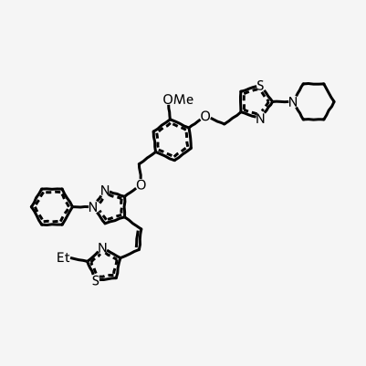 CCc1nc(/C=C\c2cn(-c3ccccc3)nc2OCc2ccc(OCc3csc(N4CCCCC4)n3)c(OC)c2)cs1